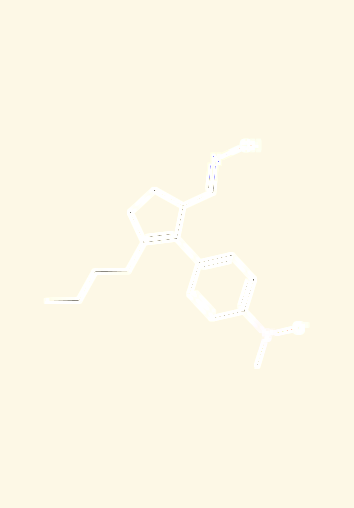 CCCCC1=C(c2ccc([S+](C)[O-])cc2)C(C=NO)CC1